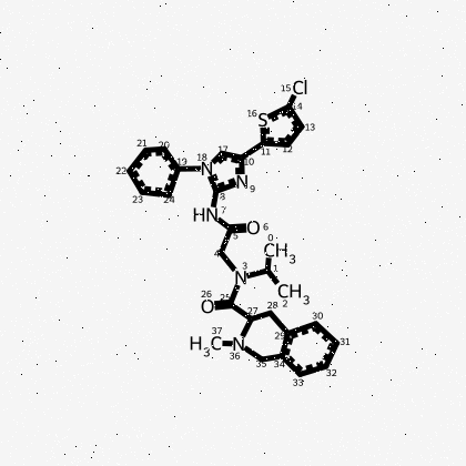 CC(C)N(CC(=O)Nc1nc(-c2ccc(Cl)s2)cn1-c1ccccc1)C(=O)C1Cc2ccccc2CN1C